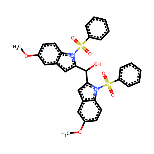 COc1ccc2c(c1)cc(C(O)c1cc3cc(OC)ccc3n1S(=O)(=O)c1ccccc1)n2S(=O)(=O)c1ccccc1